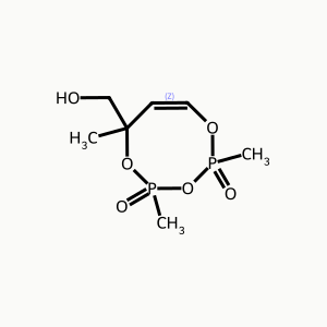 CC1(CO)/C=C\OP(C)(=O)OP(C)(=O)O1